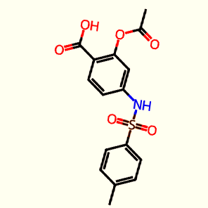 CC(=O)Oc1cc(NS(=O)(=O)c2ccc(C)cc2)ccc1C(=O)O